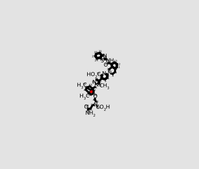 Cc1c(-c2ccc(N3CCc4cccc(C(=O)Nc5nc6ccccc6s5)c4C3)nc2C(=O)O)cnn1CC12CC3(C)CC(C)(C1)CC(OCCN(CCC(N)=O)C(=O)O)(C3)C2